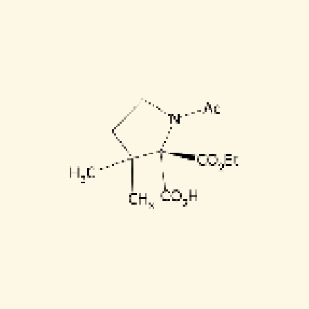 CCOC(=O)[C@]1(C(=O)O)N(C(C)=O)CCC1(C)C